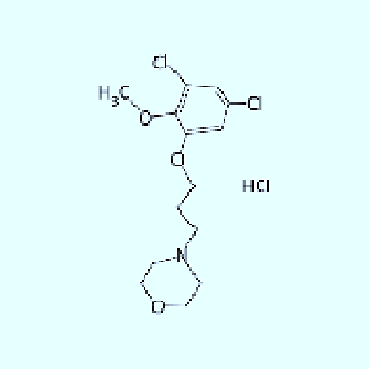 COc1c(Cl)cc(Cl)cc1OCCCN1CCOCC1.Cl